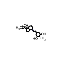 C=C(CC)C1CCC2/C(=C/C=C3C[C@@H](O)C(=C)[C@H](O)C3)CCC[C@]12C